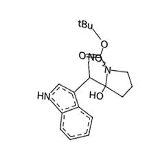 CC(C)(C)OC(=O)N1CCCC1(O)C(C[N+](=O)[O-])c1c[nH]c2ccccc12